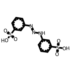 O=S(=O)(O)c1cccc(/N=N/Nc2cccc(S(=O)(=O)O)c2)c1